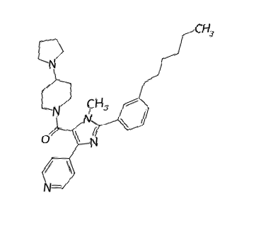 CCCCCCc1cccc(-c2nc(-c3ccncc3)c(C(=O)N3CCC(N4CCCC4)CC3)n2C)c1